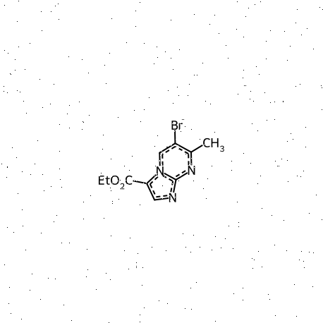 CCOC(=O)c1cnc2nc(C)c(Br)cn12